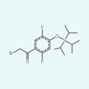 CC(C)[Si](Oc1cc(F)c(C(=O)CBr)cc1F)(C(C)C)C(C)C